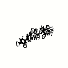 CCn1cc(-c2ccc(Cl)c(Cl)c2)nc1NC(=O)Cn1cnc2c1c(=O)[nH]c(=O)n2C